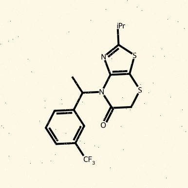 CC(C)c1nc2c(s1)SCC(=O)N2C(C)c1cccc(C(F)(F)F)c1